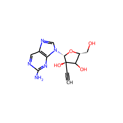 C#C[C@@]1(O)C(O)[C@@H](CO)O[C@H]1n1cnc2cnc(N)nc21